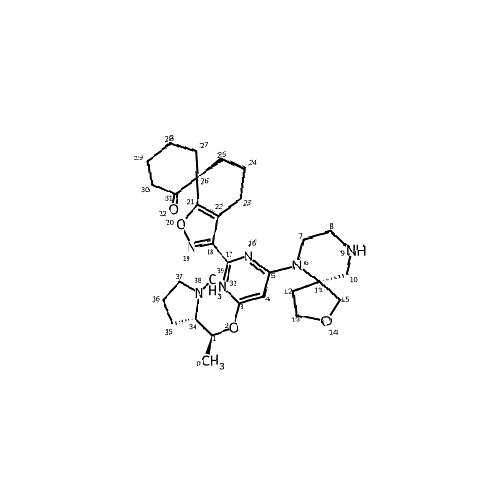 C[C@H](Oc1cc(N2CCNC[C@]23CCOC3)nc(-c2noc3c2CCC[C@@]32CCCCC2=O)n1)[C@@H]1CCCN1C